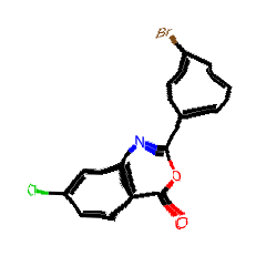 O=c1oc(-c2cccc(Br)c2)nc2cc(Cl)ccc12